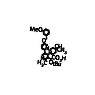 COc1cccc(COc2ccc(-c3cnc(C)c([C@H](OC(C)(C)C)C(=O)O)c3N3CCC(C)(C)CC3)nc2)c1